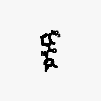 Cc1c(C(=O)Nc2cc(C)n(C)n2)cccc1[N+](=O)[O-]